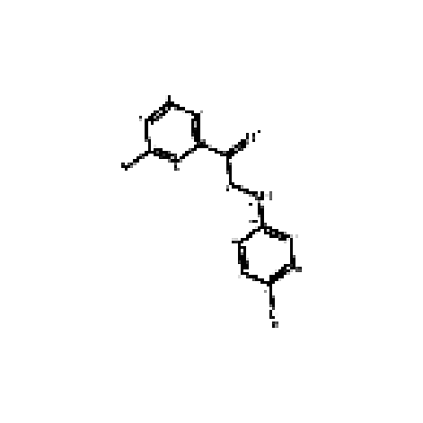 Cc1cccc(C(=O)CNc2ccc(Br)cc2)c1